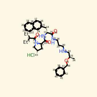 CCC(CC)C(=O)N1CCCC1C(=O)N[C@H](Cc1ccc2ccccc2c1)C(=O)NCCCNC[C@@H](C)OCc1ccccc1.Cl